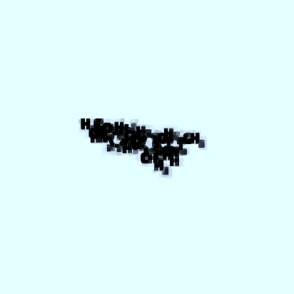 CC1=C2C[C@H]3[C@@H](CC[C@@H]4CC(NS(C)(=O)=O)CC[C@@]43C)[C@@H]2CC[C@@]2(C1)O[C@@H]1C[C@H](C)CN[C@H]1[C@H]2C